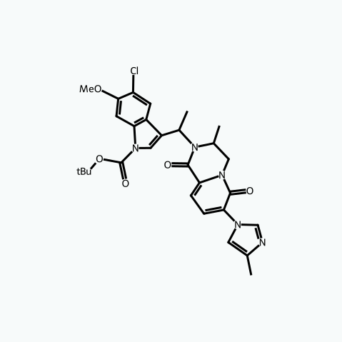 COc1cc2c(cc1Cl)c(C(C)N1C(=O)c3ccc(-n4cnc(C)c4)c(=O)n3CC1C)cn2C(=O)OC(C)(C)C